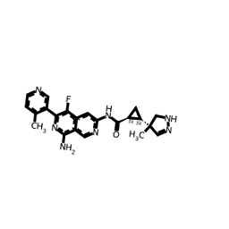 Cc1ccncc1-c1nc(N)c2cnc(NC(=O)[C@H]3C[C@@H]3C3(C)C=NNC3)cc2c1F